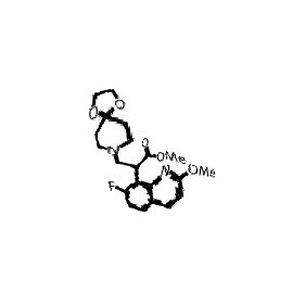 COC(=O)C(CN1CCC2(CC1)OCCO2)c1c(F)ccc2ccc(OC)nc12